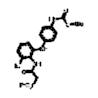 CCOC(=O)CC(=O)Nc1c(CC)cccc1Nc1ccc(NC(=O)OC(C)(C)C)cc1